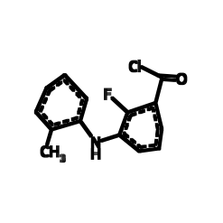 Cc1ccccc1Nc1cccc(C(=O)Cl)c1F